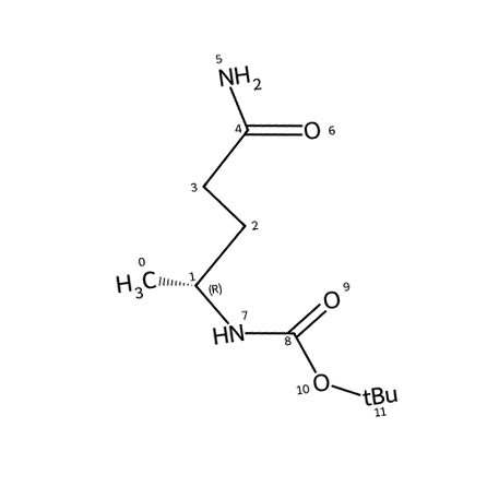 C[C@H](CCC(N)=O)NC(=O)OC(C)(C)C